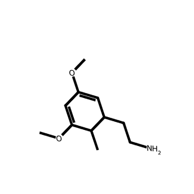 COC1=CC(CCN)C(C)C(OC)=C1